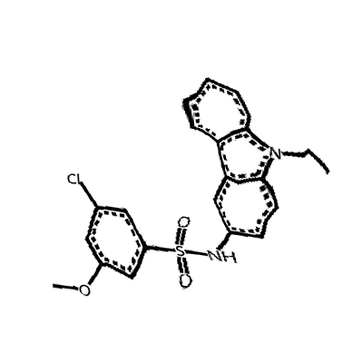 CCn1c2ccccc2c2cc(NS(=O)(=O)c3cc(Cl)cc(OC)c3)ccc21